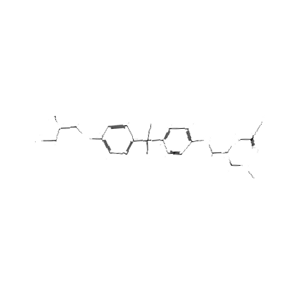 COC[C@@H](COc1ccc(C(C)(C)c2ccc(OC[C@H](C)CCl)cc2)cc1)OC(C)=O